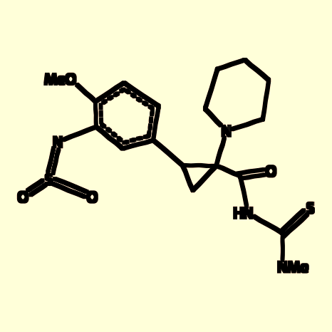 CNC(=S)NC(=O)C1(N2CCCCC2)CC1c1ccc(OC)c(N=S(=O)=O)c1